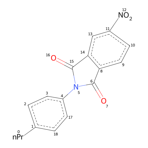 CCCc1ccc(N2C(=O)c3ccc([N+](=O)[O-])cc3C2=O)cc1